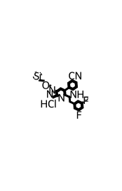 C[Si](C)(C)CCOCn1ncc2nc(C(N)Cc3cc(F)cc(F)c3)c(-c3cccc(C#N)c3)cc21.Cl